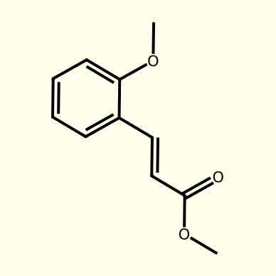 COC(=O)/C=C/c1ccccc1OC